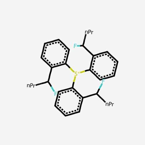 CCCC(F)c1ccccc1[S+](c1ccccc1C(F)CCC)c1ccccc1C(F)CCC